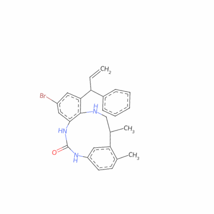 C=CC(c1ccccc1)c1cc(Br)cc2c1NCC(C)c1cc(ccc1C)NC(=O)N2